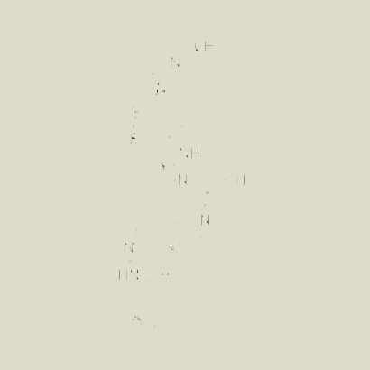 CCC1CN(C(=O)Nc2ccc(CN3CCN(CC)CC3)c(C(F)(F)F)c2)Cc2cc(Oc3ccnc4[nH]c(C5=CCOC5)cc34)cnc21